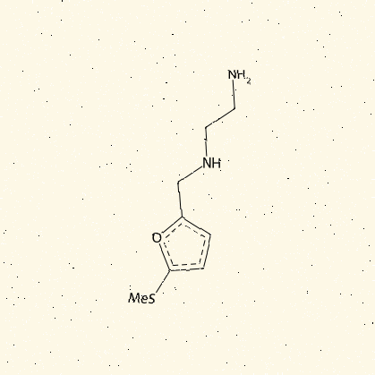 CSc1ccc(CNCCN)o1